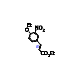 CCOC(=O)/C=C/c1ccc(OCC)c([N+](=O)[O-])c1